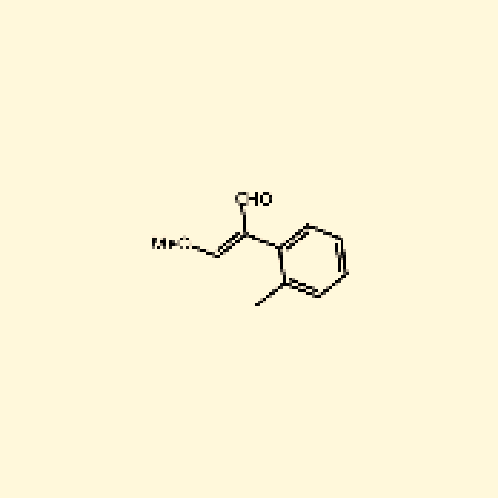 COC=C(C=O)c1ccccc1C